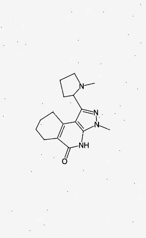 CN1CCCC1c1nn(C)c2[nH]c(=O)c3c(c12)CCCC3